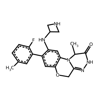 Cc1ccc(F)c(-c2cc3c(cc2NC2CNC2)N2C(=NNC(=O)C2C)CO3)c1